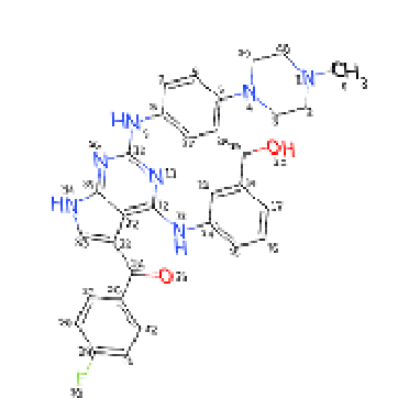 CN1CCN(c2ccc(Nc3nc(Nc4cccc(CO)c4)c4c(C(=O)c5ccc(F)cc5)c[nH]c4n3)cc2)CC1